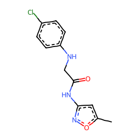 Cc1cc(NC(=O)CNc2ccc(Cl)cc2)no1